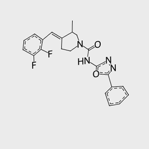 CC1CN(C(=O)Nc2nnc(-c3ccccc3)o2)CCC1=Cc1cccc(F)c1F